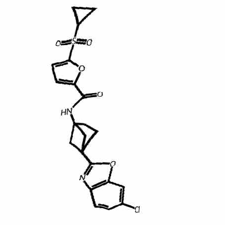 O=C(NC12CC(c3nc4ccc(Cl)cc4o3)(C1)C2)c1ccc(S(=O)(=O)C2CC2)o1